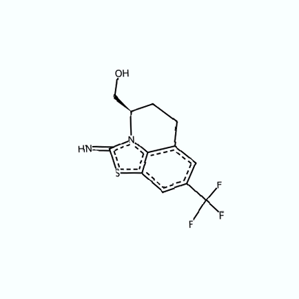 N=c1sc2cc(C(F)(F)F)cc3c2n1[C@@H](CO)CC3